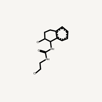 O=C(NCCCl)NC1c2ccccc2CCC1Cl